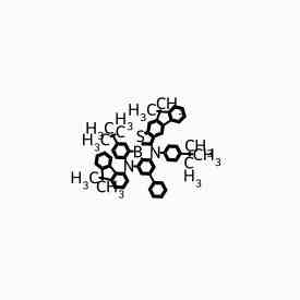 CC(C)(C)c1ccc(N2c3cc(-c4ccccc4)cc4c3B(c3cc(C(C)(C)C)ccc3N4c3cccc4c3-c3ccccc3C4(C)C)c3sc4cc5c(cc4c32)-c2ccccc2C5(C)C)cc1